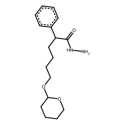 NNC(=O)C(CCCCOC1CCCCO1)c1ccccc1